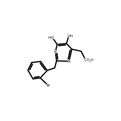 O=C(O)Cc1nc(Cc2ccccc2Br)nc(O)c1O